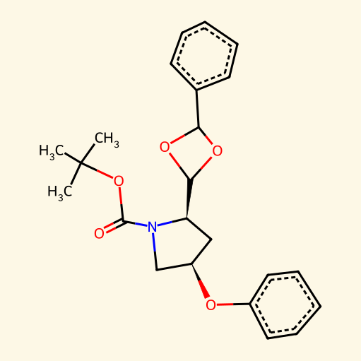 CC(C)(C)OC(=O)N1C[C@H](Oc2ccccc2)C[C@@H]1C1OC(c2ccccc2)O1